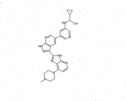 CN1CCN(c2ccnc3[nH]c(-c4n[nH]c5ncc(-c6cncc(NC(O)C7CC7)c6)cc45)nc23)CC1